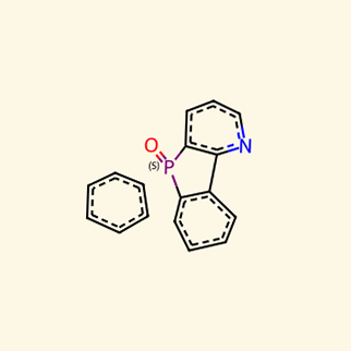 O=[P@@]1(c2ccccc2)c2ccccc2-c2ncccc21